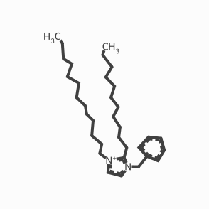 CCCCCCCCCCCCC[n+]1ccn(Cc2ccccc2)c1CCCCCCCCCCC